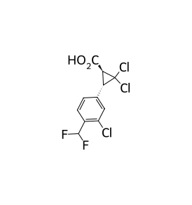 O=C(O)[C@@H]1[C@@H](c2ccc(C(F)F)c(Cl)c2)C1(Cl)Cl